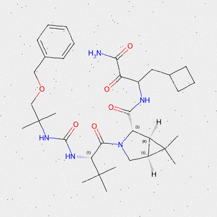 CC(C)(COCc1ccccc1)NC(=O)N[C@H](C(=O)N1C[C@H]2[C@@H]([C@H]1C(=O)NC(CC1CCC1)C(=O)C(N)=O)C2(C)C)C(C)(C)C